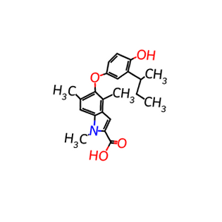 CCC(C)c1cc(Oc2c(C)cc3c(cc(C(=O)O)n3C)c2C)ccc1O